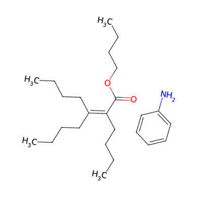 CCCCOC(=O)C(CCCC)=C(CCCC)CCCC.Nc1ccccc1